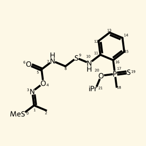 CSC(C)=NOC(=O)NCSNc1ccccc1P(C)(=S)OC(C)C